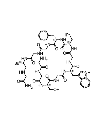 CC[C@@H](C)C(CNCC(N)=O)NC(=O)CNC(=O)CNC(=O)[C@H](Cc1ccccc1)NC(=O)[C@@H](CC(C)C)NC(=O)CNC(=O)[C@@H](Cc1c[nH]c2ccccc12)NC(=O)CNC(=O)[C@@H](CO)NC(=O)CNC(=O)CN